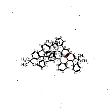 CC(C)(C)c1ccc2c(c1)C1(c3ccccc3-c3cc(N(c4ccccc4-c4cccc5c4-c4ccccc4C5(C)C)c4cccc5c6ccccc6n(-c6ccccc6)c45)ccc31)c1cc(C(C)(C)C)ccc1-2